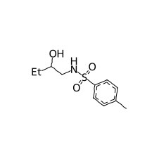 CCC(O)CNS(=O)(=O)c1ccc(C)cc1